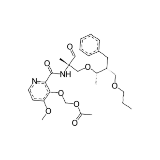 CCCOC[C@@H](Cc1ccccc1)[C@H](C)OC[C@@](C)(C=O)NC(=O)c1nccc(OC)c1OCOC(C)=O